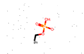 CC(C)COP([O])(=O)O